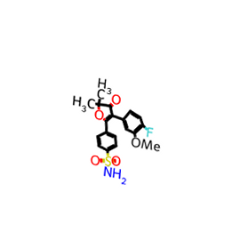 COc1cc(C2=C(c3ccc(S(N)(=O)=O)cc3)OC(C)(C)C2=O)ccc1F